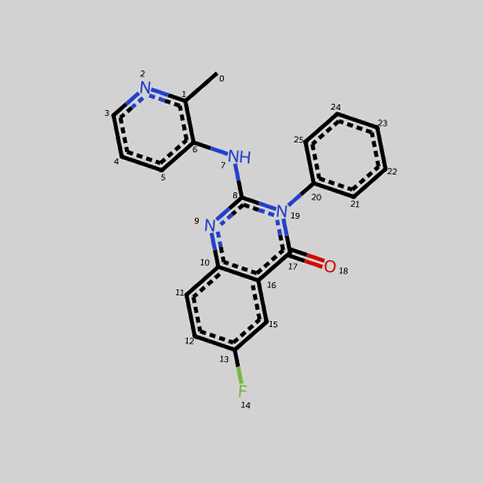 Cc1ncccc1Nc1nc2ccc(F)cc2c(=O)n1-c1ccccc1